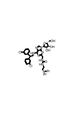 CC(C)N(CCNC(=O)NCc1nc(NCC(c2cccc(Cl)c2)c2cccc(Cl)c2)c2ncn([C@@H]3O[C@H](CO)[C@@H](O)[C@@H]3O)c2n1)C(C)C